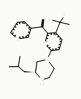 CC(C)C[C@H]1CN(c2ccc(C(F)(F)F)c(C(=O)c3cccnc3)n2)C[C@H](C)N1